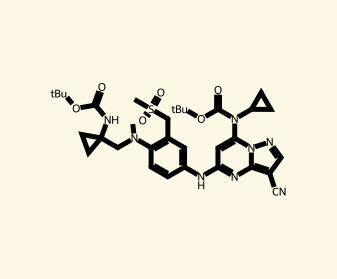 CN(CC1(NC(=O)OC(C)(C)C)CC1)c1ccc(Nc2cc(N(C(=O)OC(C)(C)C)C3CC3)n3ncc(C#N)c3n2)cc1CS(C)(=O)=O